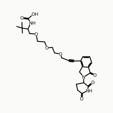 CC(C)(C)C(COCCOCCOCC#Cc1cccc2c1CN(C1CCC(=O)NC1=O)C2=O)NC(=O)O